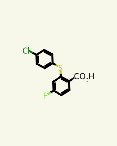 O=C(O)c1ccc(F)cc1Sc1ccc(Cl)cc1